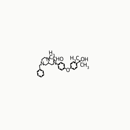 CN1CCN(Cc2ccccc2)CC1CN(C=O)c1ccc(Oc2ccc(C(C)(C)O)cc2)cc1